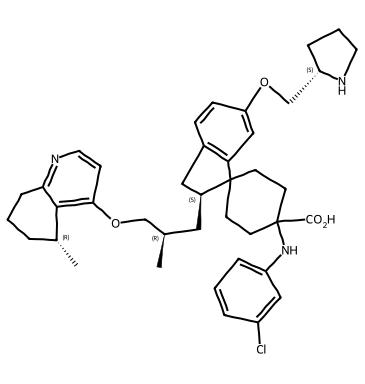 C[C@@H](COc1ccnc2c1[C@H](C)CCC2)C[C@H]1Cc2ccc(OC[C@@H]3CCCN3)cc2C12CCC(Nc1cccc(Cl)c1)(C(=O)O)CC2